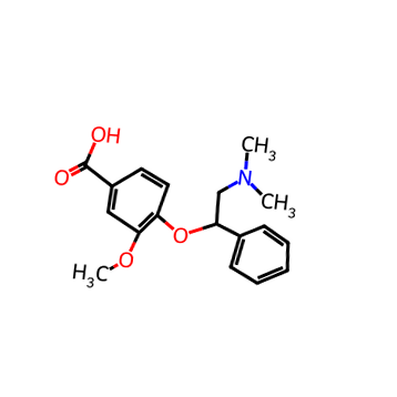 COc1cc(C(=O)O)ccc1OC(CN(C)C)c1ccccc1